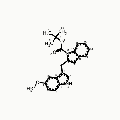 COc1ccc2[nH]cc(Cc3cc4ccccc4n3C(=O)OC(C)(C)C)c2c1